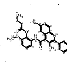 CCCC(=O)Oc1c(NC(=O)c2c(C)c(-c3ccccc3)nc3ccc(Br)cc23)cccc1OC